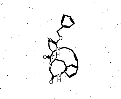 CC(C)C[C@@H]1C(=O)N2CC(=O)Nc3ccc(cc3C[C@H]2C#N)/C=C\CCN1C(=O)OCc1ccccc1